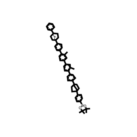 Cc1cc(-c2ccc(-c3ccc(C45CCC(c6ccc(B7OC(C)(C)C(C)(C)O7)cc6)(CC4)CC5)cc3)c(C)c2)ccc1-c1ccc(C23CCC(c4ccccc4)(CC2)CC3)cc1